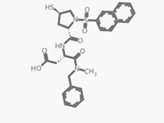 CN(Cc1ccccc1)C(=O)[C@H](CC(=O)O)NC(=O)[C@@H]1C[C@@H](S)CN1S(=O)(=O)c1ccc2ccccc2c1